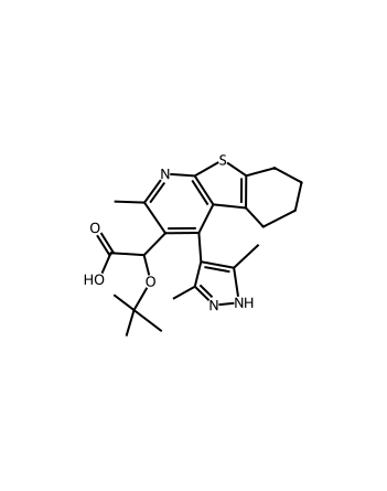 Cc1n[nH]c(C)c1-c1c(C(OC(C)(C)C)C(=O)O)c(C)nc2sc3c(c12)CCCC3